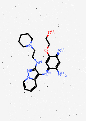 N=C1C=C(N)/C(=N/c2c(NCCN3CCCCC3)nn3ccccc23)C=C1OCCO